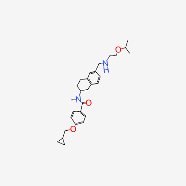 CC(C)OCCNCc1ccc2c(c1)CC[C@H](N(C)C(=O)c1ccc(OCC3CC3)cc1)C2